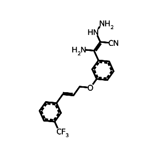 N#C/C(NN)=C(/N)c1cccc(OC/C=C/c2cccc(C(F)(F)F)c2)c1